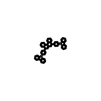 C1=CC2=c3c(cc(-c4ccc(-n5c6ccccc6c6ccccc65)cc4)c4ccccc34)=CC(c3ccc(-n4c5ccccc5c5ccccc54)cc3)C2C=C1